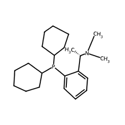 C[C@@H](c1ccccc1P(C1CCCCC1)C1CCCCC1)N(C)C